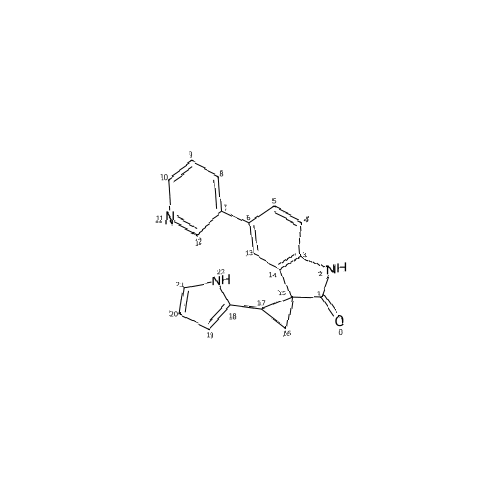 O=C1Nc2ccc(-c3cccnc3)cc2C12CC2c1ccc[nH]1